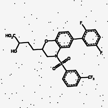 O=C(O)C(O)CCC1CN(S(=O)(=O)c2cccc(C(F)(F)F)c2)c2cc(-c3cc(F)ccc3F)ccc2O1